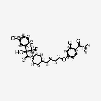 CN(C)C(=O)c1ccc(OCCCCC2CCN(C(=O)[C@](O)(c3cccc(Cl)c3)C(F)(F)F)CC2)cc1Cl